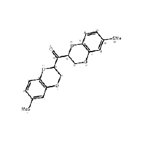 CSc1ccc2c(c1)OCC(C(=O)C1COc3cc(SC)ccc3O1)O2